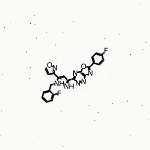 N=C(/C=C(\NCc1ccccc1F)c1ccon1)c1nnc2nc(-c3ccc(F)cc3)oc2n1